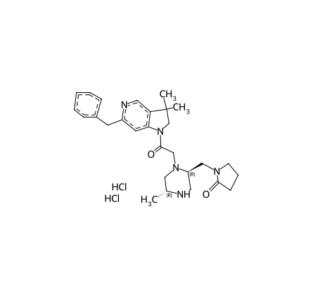 C[C@@H]1CN(CC(=O)N2CC(C)(C)c3cnc(Cc4ccccc4)cc32)[C@@H](CN2CCCC2=O)CN1.Cl.Cl